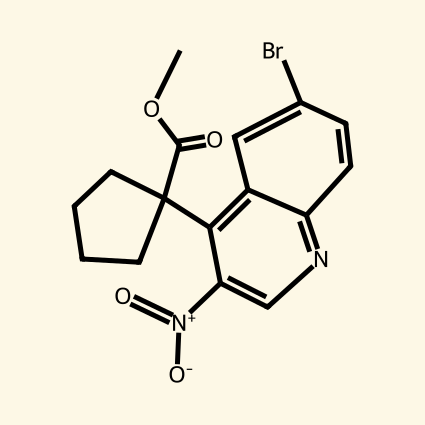 COC(=O)C1(c2c([N+](=O)[O-])cnc3ccc(Br)cc23)CCCC1